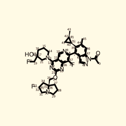 CC(=O)n1ncc2c(-c3ncc4c(N5CCC[C@](O)(CF)C5)nc(OC[C@@]56CCCN5C[C@H](F)C6)nc4c3F)c([C@H]3C[C@H]3C)c(C)cc21